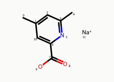 Cc1cc(C)nc(C(=O)[O-])c1.[Na+]